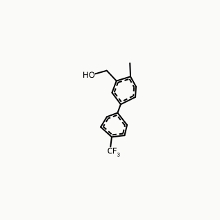 Cc1ccc(-c2ccc(C(F)(F)F)cc2)cc1CO